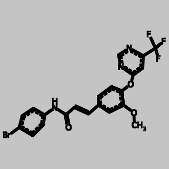 COc1cc(C=CC(=O)Nc2ccc(Br)cc2)ccc1Oc1cc(C(F)(F)F)ncn1